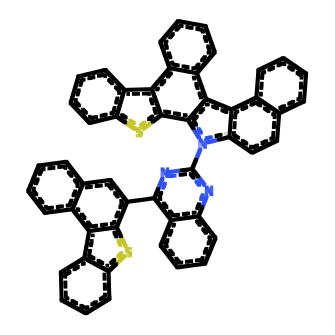 c1ccc2c(c1)cc(-c1nc(-n3c4ccc5ccccc5c4c4c5ccccc5c5c6ccccc6sc5c43)nc3ccccc13)c1sc3ccccc3c12